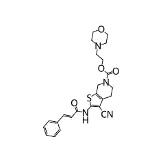 N#Cc1c(NC(=O)C=Cc2ccccc2)sc2c1CCN(C(=O)OCCN1CCOCC1)C2